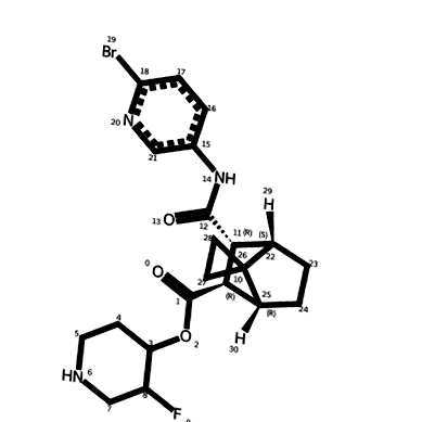 O=C(OC1CCNCC1F)[C@H]1[C@H](C(=O)Nc2ccc(Br)nc2)[C@@H]2CC[C@H]1C21CC1